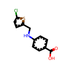 O=C(O)c1ccc(NCc2ccc(Cl)s2)cc1